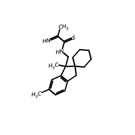 CC(=N)C(=S)NCC1(C)c2cc(C)ccc2CC12CCCCC2